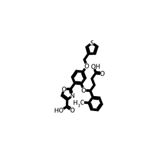 Cc1ccccc1C(CCC(=O)O)Oc1cc(OCc2ccsc2)ccc1-c1nc(C(=O)O)co1